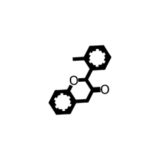 Cc1ccccc1C1Oc2ccccc2CC1=O